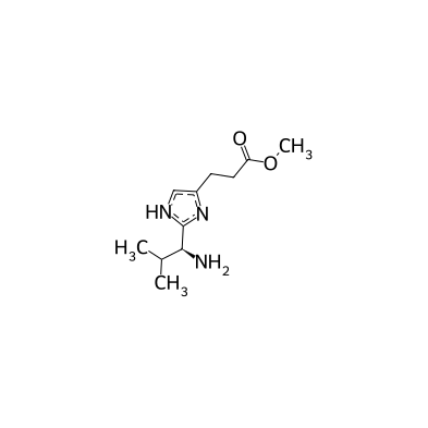 COC(=O)CCc1c[nH]c([C@@H](N)C(C)C)n1